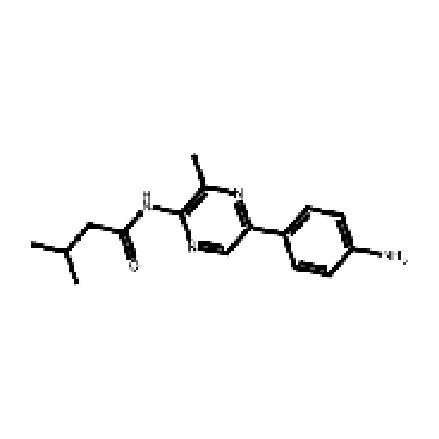 Cc1nc(-c2ccc(N)cc2)cnc1NC(=O)CC(C)C